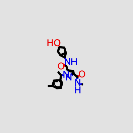 CNC(=O)c1cc(C(=O)NC2C3CC(O)CC32)n(C(C)c2cccc(C)c2)n1